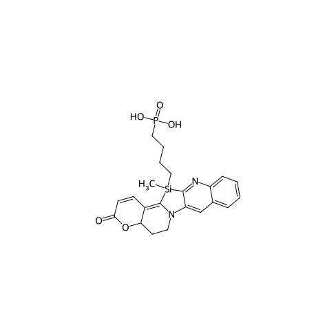 C[Si]1(CCCCP(=O)(O)O)C2=C3C=CC(=O)OC3CCN2c2cc3ccccc3nc21